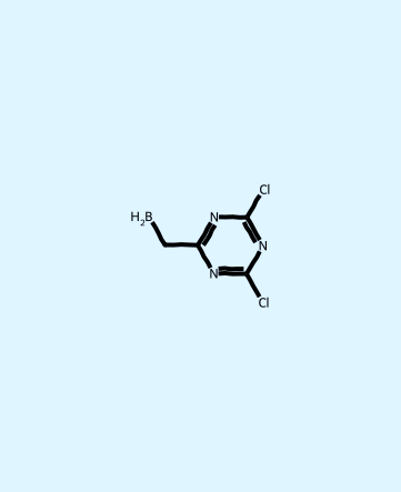 BCc1nc(Cl)nc(Cl)n1